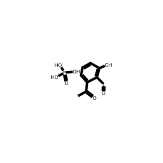 CC(=O)c1cccc(O)c1I=O.O=P(O)(O)O